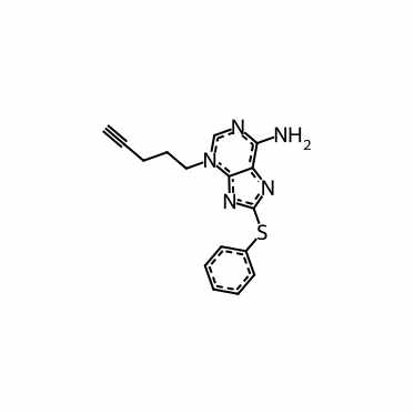 C#CCCCn1cnc(N)c2nc(Sc3ccccc3)nc1-2